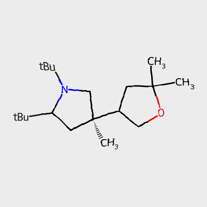 CC1(C)CC([C@@]2(C)CC(C(C)(C)C)N(C(C)(C)C)C2)CO1